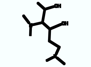 CC(O)C(C(O)CCN(C)C)N(C)C